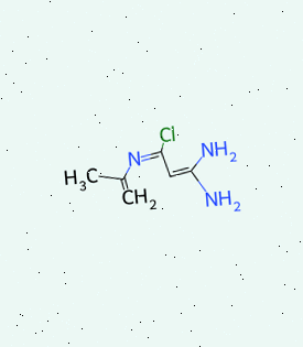 C=C(C)/N=C(/Cl)C=C(N)N